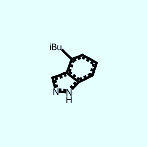 CCC(C)c1cccc2[nH]ncc12